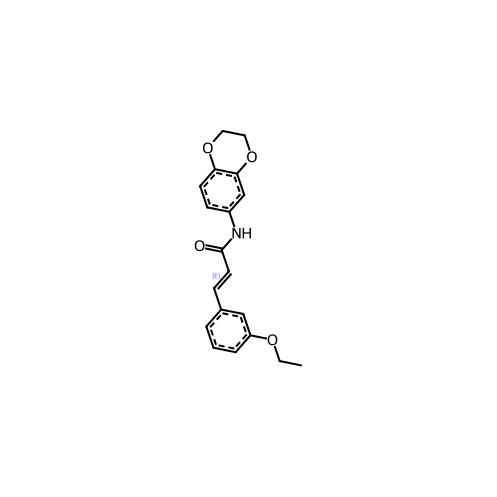 CCOc1cccc(/C=C/C(=O)Nc2ccc3c(c2)OCCO3)c1